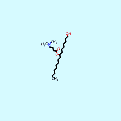 CCCCCCCCCC(CCCCCCCO)OC(=O)CCCN(C)C